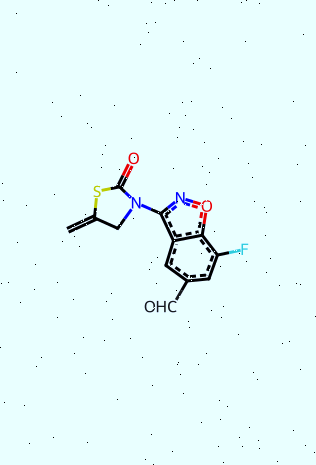 C=C1CN(c2noc3c(F)cc(C=O)cc23)C(=O)S1